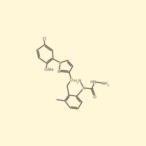 COc1ccc(Cl)cc1-n1ccc(OCc2c(C)cccc2N(N)C(=O)NN)n1